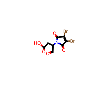 O=CC(CC(=O)O)N1C(=O)C(Br)=C(Br)C1=O